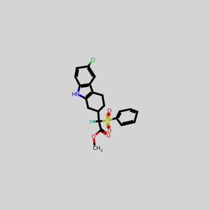 COC(=O)C(F)(C1CCc2c([nH]c3ccc(Cl)cc23)C1)S(=O)(=O)c1ccccc1